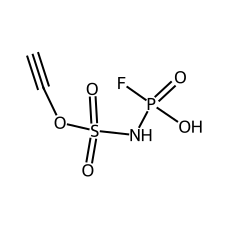 C#COS(=O)(=O)NP(=O)(O)F